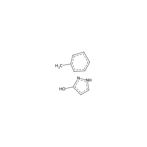 Cc1ccccc1.Oc1cc[nH]n1